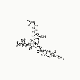 CCNC(=O)c1ccc2c(c1)CN(C(=O)O[C@@H]1C[C@@H](C(=O)NC(=O)NS(=O)(=O)C3CC3)N(C(=O)[C@H](CCCCC/C=C\C3CC3)NC(=O)O)C1)C2